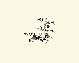 C[C@H](N)C(=O)O.N[C@@H](CC(=O)O)C(=O)O.N[C@@H](CO)C(=O)O.N[C@@H](CO)C(=O)O.N[C@@H](CO)C(=O)O